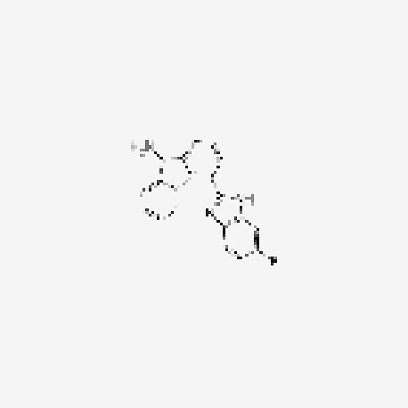 NC1c2ccccc2-c2c(-c3nc4ccc(F)cc4[nH]3)cccc21